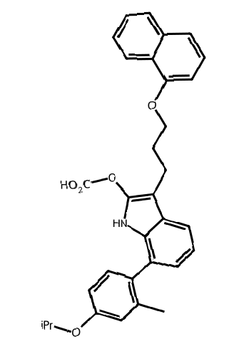 Cc1cc(OC(C)C)ccc1-c1cccc2c(CCCOc3cccc4ccccc34)c(OC(=O)O)[nH]c12